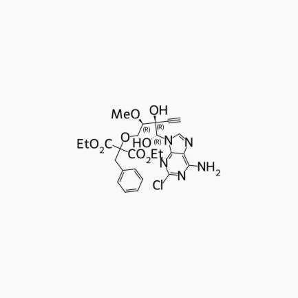 C#C[C@@](O)([C@@H](COC(Cc1ccccc1)(C(=O)OCC)C(=O)OCC)OC)[C@@H](O)n1cnc2c(N)nc(Cl)nc21